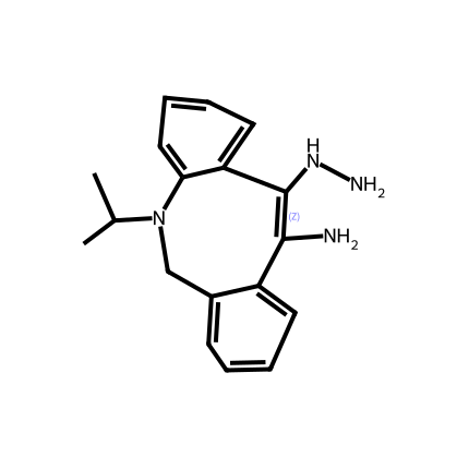 CC(C)N1Cc2ccccc2/C(N)=C(/NN)c2ccccc21